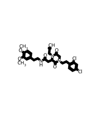 C#CCN1C(=O)CN(CCc2ccc(Cl)cc2Cl)C(=O)C1CC(=O)NCCc1ccc(OC)c(OC)c1